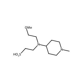 COCCN(CCS(=O)(=O)O)C1CCN(C)CC1